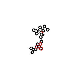 CC1(C)c2ccc(N(c3ccccc3-c3ccccc3-c3ccccc3-c3ccccc3)c3cc4ccccc4c4ccccc34)cc2-c2ccc(-c3ccc4ccc5c(N(c6ccc7c(c6)-c6ccccc6C76CC7CCC6C7)c6ccccc6-c6ccccc6-c6ccccc6-c6ccccc6)cccc5c4c3)cc21